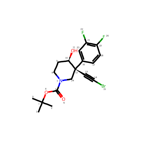 CC(C)(C)OC(=O)N1CC[C@@H](O)[C@](C#CBr)(c2ccc(F)c(F)c2)C1